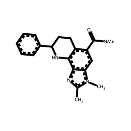 CNC(=O)c1cc2c(nc(C)n2C)c2c1CCC(c1ccccc1)N2